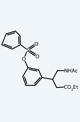 CCOC(=O)CC(CNC(C)=O)c1cccc(OS(=O)(=O)c2ccccc2)c1